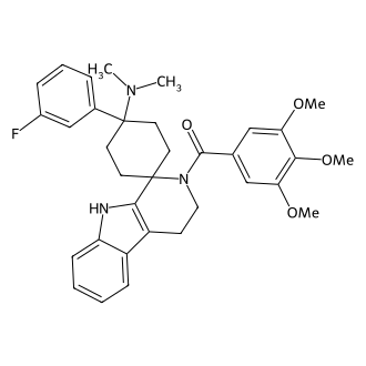 COc1cc(C(=O)N2CCc3c([nH]c4ccccc34)C23CCC(c2cccc(F)c2)(N(C)C)CC3)cc(OC)c1OC